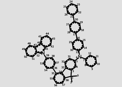 CC1(C)c2cc(N(c3ccccc3)c3ccc(-c4ccc(-c5ccccc5)cc4)cc3)ccc2-c2c(-c3ccc(-n4c5ccccc5c5ccccc54)cc3)cccc21